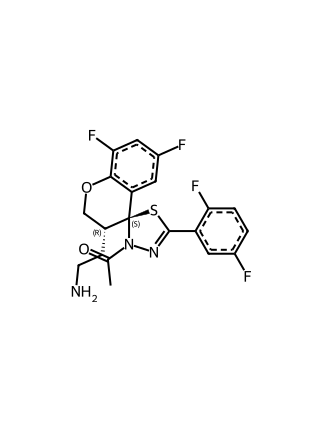 CC(=O)N1N=C(c2cc(F)ccc2F)S[C@@]12c1cc(F)cc(F)c1OC[C@H]2CCN